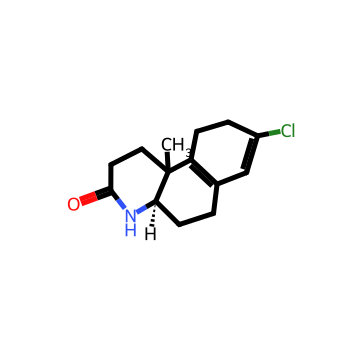 CC12CCC(=O)N[C@@H]1CCC1=C2CCC(Cl)=C1